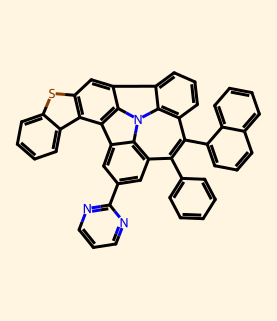 c1ccc(C2=C(c3cccc4ccccc34)c3cccc4c5cc6sc7ccccc7c6c6c7cc(-c8ncccn8)cc2c7n(c34)c56)cc1